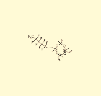 C=C[Si]1(C)O[Si](C)(C=C)O[Si](C)(CCC(F)(F)C(F)(F)C(F)(F)C(F)(F)C(F)(F)F)O[Si](C)(C=C)O1